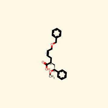 CO[C@H](C[C@H](C/C=C\COCc1ccccc1)C(=O)O)c1ccccc1